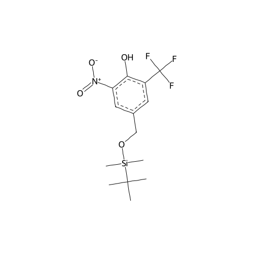 CC(C)(C)[Si](C)(C)OCc1cc([N+](=O)[O-])c(O)c(C(F)(F)F)c1